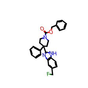 O=C(OCc1ccccc1)N1CCC(c2ccccc2)(c2nc3cc(CF)ccc3[nH]2)CC1